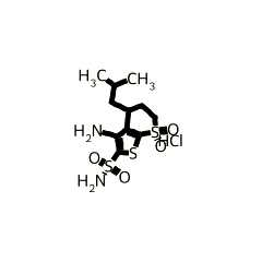 CC(C)CC1CCS(=O)(=O)c2sc(S(N)(=O)=O)c(N)c21.Cl